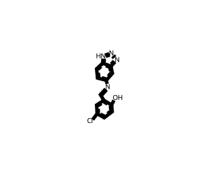 Oc1ccc(Cl)cc1/C=N/c1ccc2[nH]nnc2c1